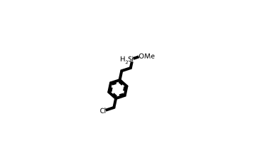 CO[SiH2]CCc1ccc(CCl)cc1